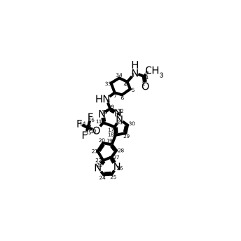 CC(=O)NC1CCC(Nc2nc(OC(F)(F)F)c3c(-c4ccc5nccnc5c4)ccn3n2)CC1